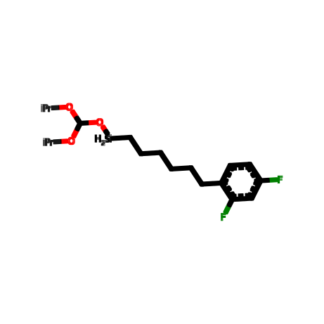 CC(C)OC(O[SiH2]CCCCCCc1ccc(F)cc1F)OC(C)C